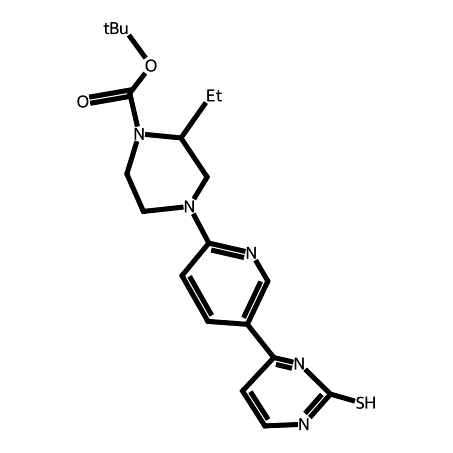 CCC1CN(c2ccc(-c3ccnc(S)n3)cn2)CCN1C(=O)OC(C)(C)C